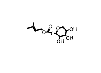 CC(C)=CCOC(=O)CC1OC[C@@H](O)[C@H](O)[C@H]1O